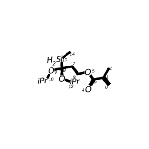 C=C(C)C(=O)OCCC(OC(C)C)(OC(C)C)[SiH2]C